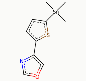 [CH3][Sn]([CH3])([CH3])[c]1ccc(-c2cocn2)s1